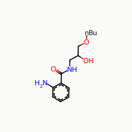 CCCCOCC(O)CNC(=O)c1ccccc1N